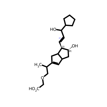 CC(COCC(=O)O)C1=CC2C[C@@H](O)[C@H](/C=C/C(O)C3CCCC3)C2C1